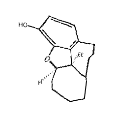 CC[C@@]12c3c4ccc(O)c3O[C@@H]1CCCC2CC4